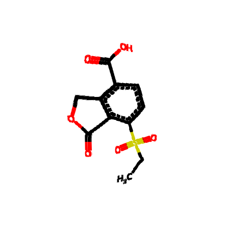 CCS(=O)(=O)c1ccc(C(=O)O)c2c1C(=O)OC2